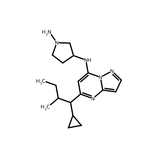 CCC(C)C(c1cc(NC2CCN(N)C2)n2nccc2n1)C1CC1